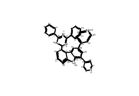 c1ccc(-c2nc(-c3ccccc3)nc(-c3cccc4oc5c(-c6ccncc6)cc(-c6ccncc6)cc5c34)n2)cc1